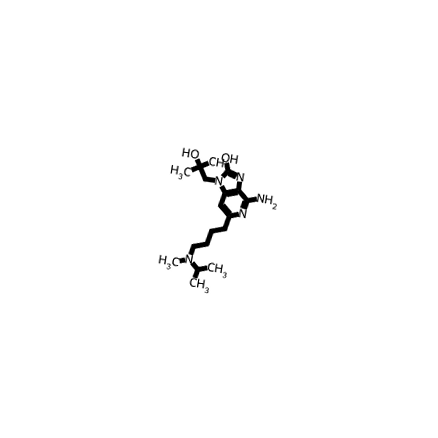 CC(C)N(C)CCCCc1cc2c(nc(O)n2CC(C)(C)O)c(N)n1